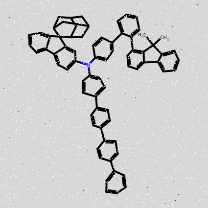 CC1(C)c2ccccc2-c2cccc(-c3ccccc3-c3ccc(N(c4ccc(-c5ccc(-c6ccc(-c7ccccc7)cc6)cc5)cc4)c4ccc5c(c4)C4(c6ccccc6-5)C5CC6CC(C5)CC4C6)cc3)c21